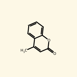 Cc1cc(=O)oc2cc[c]cc12